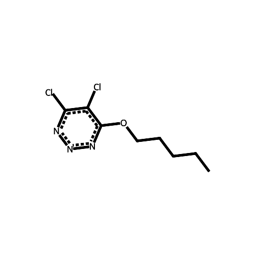 CCCCCOc1nnnc(Cl)c1Cl